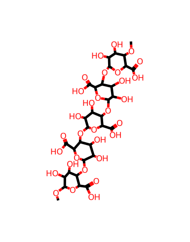 COC1OC(C(=O)O)C(OC2OC(C(=O)O)C(OC3OC(C(=O)O)C(OC4OC(C(=O)O)C(OC5OC(C(=O)O)C(OC)C(O)C5O)C(O)C4O)C(O)C3O)C(O)C2O)C(O)C1O